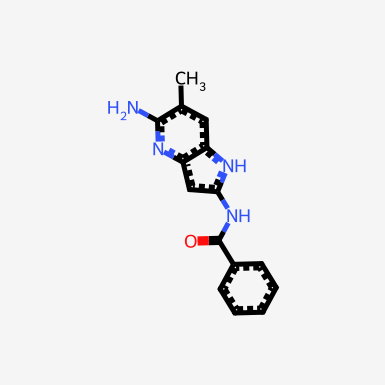 Cc1cc2[nH]c(NC(=O)c3ccccc3)cc2nc1N